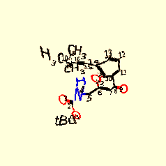 CC(C)(C)OC(=O)NCc1cc(=O)c2cccc(C#C[Si](C)(C)C)c2o1